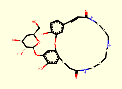 O=C1/C=C/c2ccc(O)c(c2)Oc2cc(O[C@@H]3O[C@H](CO)C[C@H](O)[C@H]3O)c(O)cc2CCC(=O)NCCCCNCCCN1